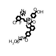 COCCNC(=O)c1ccc(-c2cccc3c2CCN(C(=O)/C=C/c2c(-n4cnnn4)ccc(Cl)c2F)C3C(=O)Nc2ccc(C(=O)O)cc2)cc1